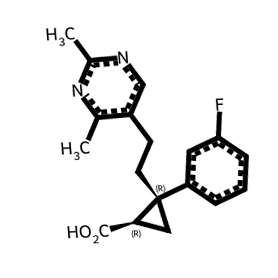 Cc1ncc(CC[C@@]2(c3cccc(F)c3)C[C@H]2C(=O)O)c(C)n1